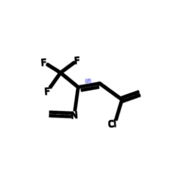 C=N/C(=C\C(=C)Cl)C(F)(F)F